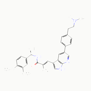 COc1ccc([C@@H](C)NC(=O)/C(C#N)=C/c2c[nH]c3ncc(-c4ccc(CCN(C)C)cc4)cc23)cc1OC